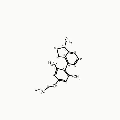 Cc1cc(OCC(=O)O)cc(C)c1-c1cccc2c1CC[C@H]2N